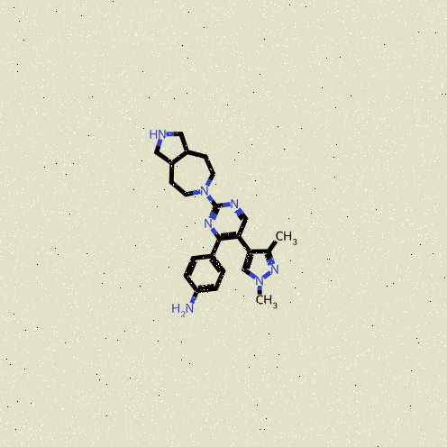 Cc1nn(C)cc1-c1cnc(N2CCC3CNCC3CC2)nc1-c1ccc(N)cc1